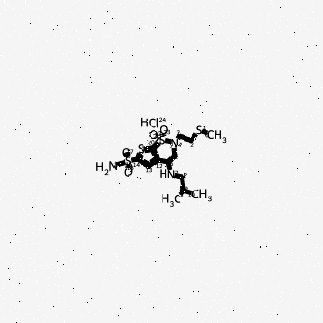 CSCCN1CC(NCC(C)C)c2cc(S(N)(=O)=O)sc2S1(=O)=O.Cl